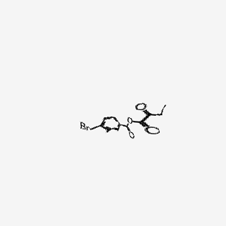 CCC(=O)C(=O)OC(=O)c1ccc(Br)cc1